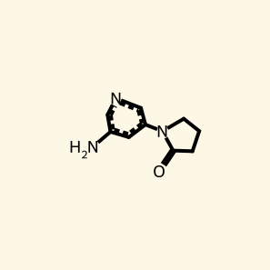 Nc1cncc(N2CCCC2=O)c1